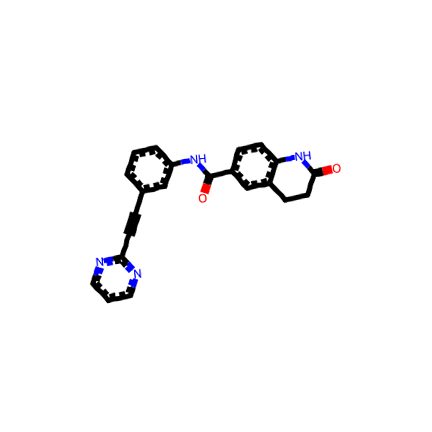 O=C1CCc2cc(C(=O)Nc3cccc(C#Cc4ncccn4)c3)ccc2N1